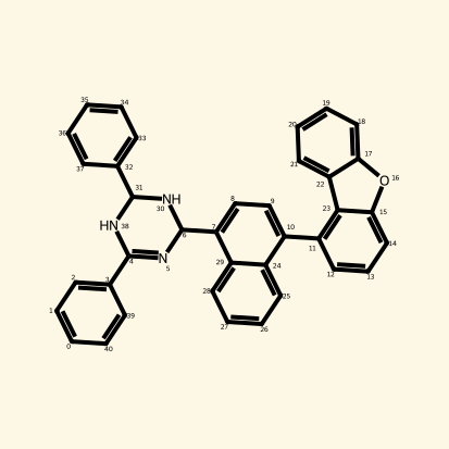 c1ccc(C2=NC(c3ccc(-c4cccc5oc6ccccc6c45)c4ccccc34)NC(c3ccccc3)N2)cc1